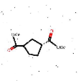 COC(=O)C1CC[C@@H](C(=O)OC)C1